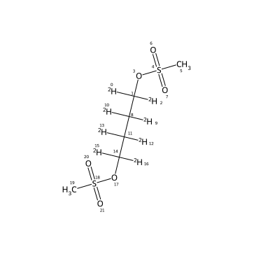 [2H]C([2H])(OS(C)(=O)=O)C([2H])([2H])C([2H])([2H])C([2H])([2H])OS(C)(=O)=O